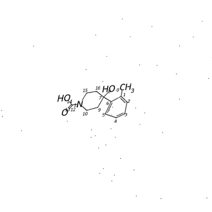 Cc1ccccc1C1(O)CCN(C(=O)O)CC1